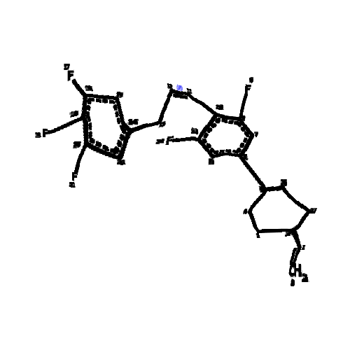 C=CC1CCC(c2cc(F)c(/C=C\Cc3cc(F)c(F)c(F)c3)c(F)c2)CC1